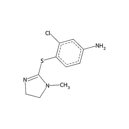 CN1CCN=C1Sc1ccc(N)cc1Cl